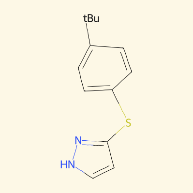 CC(C)(C)c1ccc(Sc2cc[nH]n2)cc1